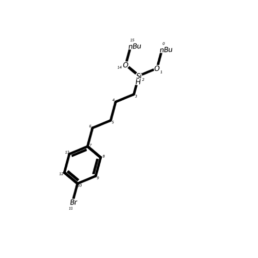 CCCCO[SiH](CCCCc1ccc(Br)cc1)OCCCC